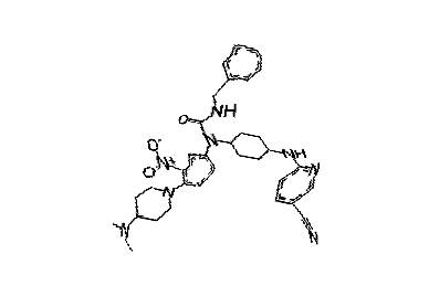 CN(C)C1CCN(c2ccc(N(C(=O)NCc3ccccc3)C3CCC(Nc4ccc(C#N)cn4)CC3)cc2[N+](=O)[O-])CC1